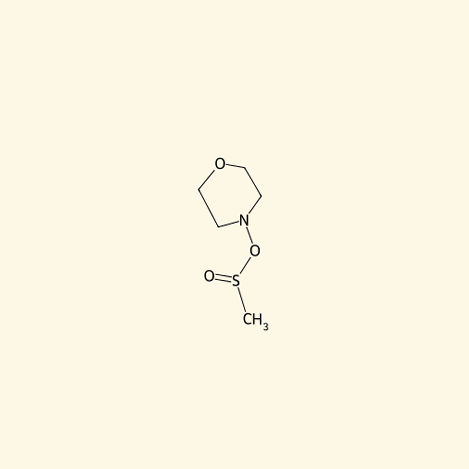 CS(=O)ON1CCOCC1